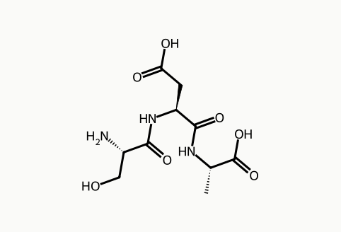 C[C@H](NC(=O)[C@H](CC(=O)O)NC(=O)[C@@H](N)CO)C(=O)O